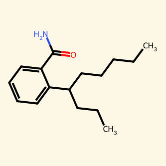 CCCCCC(CCC)c1ccccc1C(N)=O